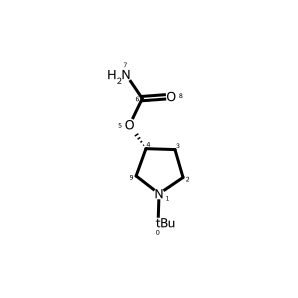 CC(C)(C)N1CC[C@@H](OC(N)=O)C1